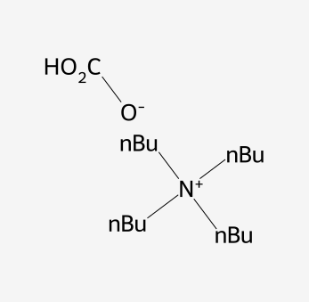 CCCC[N+](CCCC)(CCCC)CCCC.O=C([O-])O